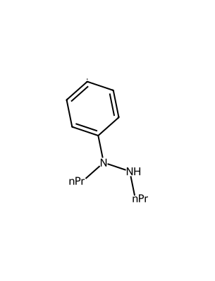 CCCNN(CCC)c1cc[c]cc1